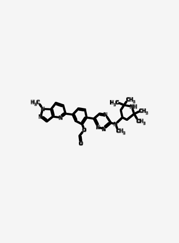 CN(c1ncc(-c2ccc(-c3ccc4c(cnn4C)n3)cc2OC=O)nn1)C1CC(C)(C)NC(C)(C)C1